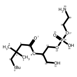 CC(C)(C)CC(C)(C)CC(=O)OC(CO)COP(=O)(O)OCCN